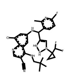 Cc1nc(F)ccc1C(Nc1cc(Cl)c2ncc(C#N)c(NCC(C)(C)C)c2c1)C1=CN(C2(C(F)F)CC2)NN1